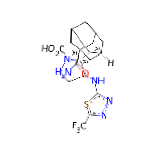 NC(=O)[C@]12CC3CC(C1)C([C@@H]1C(Nc4nnc(C(F)(F)F)s4)CCN1C(=O)O)[C@@H](C3)C2